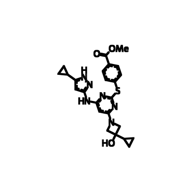 COC(=O)c1ccc(Sc2nc(Nc3cc(C4CC4)[nH]n3)cc(N3CC(O)(C4CC4)C3)n2)cc1